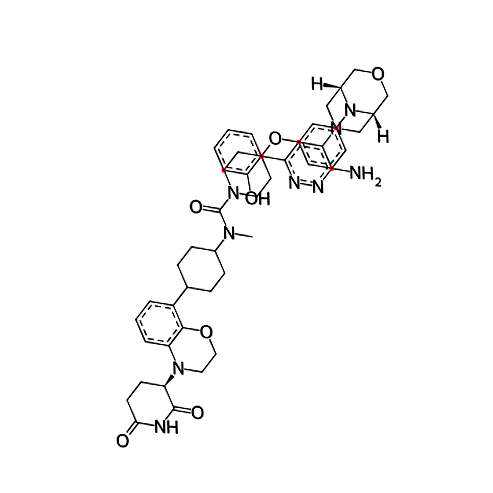 CN(C(=O)N1CCC(Oc2cccc(N3[C@@H]4COC[C@H]3CN(c3cc(-c5ccccc5O)nnc3N)C4)c2)CC1)C1CCC(c2cccc3c2OCCN3[C@@H]2CCC(=O)NC2=O)CC1